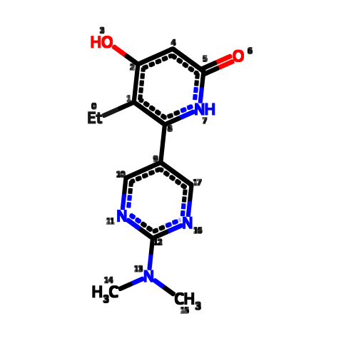 CCc1c(O)cc(=O)[nH]c1-c1cnc(N(C)C)nc1